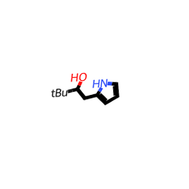 CC(C)(C)C(O)Cc1ccc[nH]1